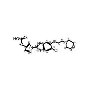 O=C(O)Oc1cnn(-c2nc3cc(SCCN4CCOCC4)c(Cl)cc3[nH]2)c1